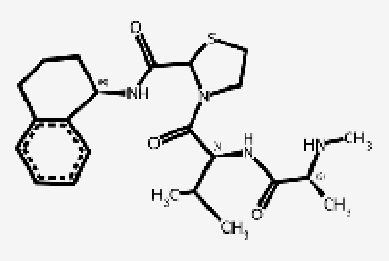 CN[C@@H](C)C(=O)N[C@H](C(=O)N1CCSC1C(=O)N[C@@H]1CCCc2ccccc21)C(C)C